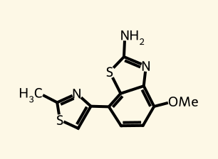 COc1ccc(-c2csc(C)n2)c2sc(N)nc12